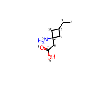 CCC1CC(N)(CC(=O)O)C1